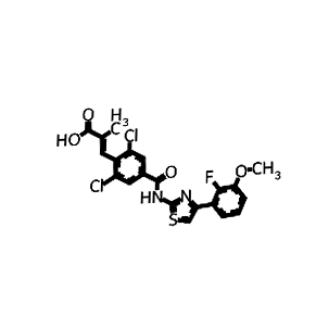 COc1cccc(-c2csc(NC(=O)c3cc(Cl)c(C=C(C)C(=O)O)c(Cl)c3)n2)c1F